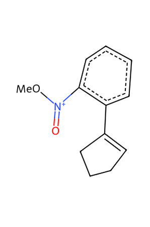 CO[N+](=O)c1ccccc1C1=CCCC1